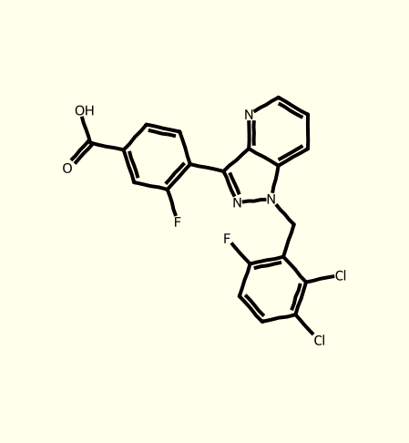 O=C(O)c1ccc(-c2nn(Cc3c(F)ccc(Cl)c3Cl)c3cccnc23)c(F)c1